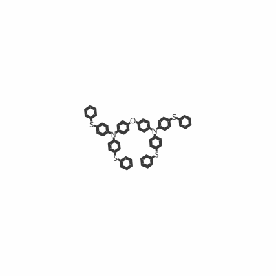 c1ccc(Sc2ccc(N(c3ccc(Oc4ccc(N(c5ccc(Sc6ccccc6)cc5)c5ccc(Sc6ccccc6)cc5)cc4)cc3)c3ccc(Sc4ccccc4)cc3)cc2)cc1